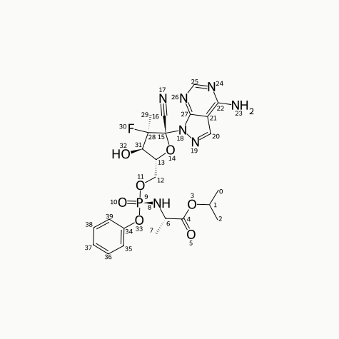 CC(C)OC(=O)[C@H](C)N[P@@](=O)(OC[C@H]1O[C@@](C#N)(n2ncc3c(N)ncnc32)[C@](C)(F)[C@@H]1O)Oc1ccccc1